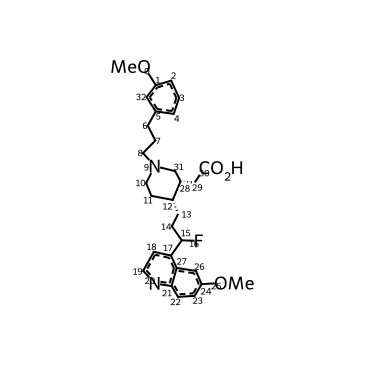 COc1cccc(CCCN2CC[C@@H](CCC(F)c3ccnc4ccc(OC)cc34)[C@@H](CC(=O)O)C2)c1